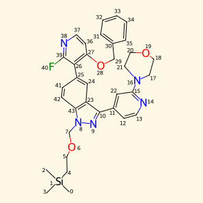 C[Si](C)(C)CCOCn1nc(-c2ccnc(N3CCOCC3)c2)c2cc(-c3c(OCc4ccccc4)ccnc3F)ccc21